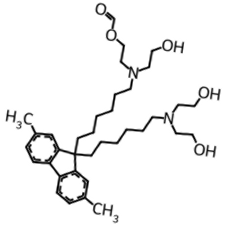 Cc1ccc2c(c1)C(CCCCCCN(CCO)CCO)(CCCCCCN(CCO)CCOC=O)c1cc(C)ccc1-2